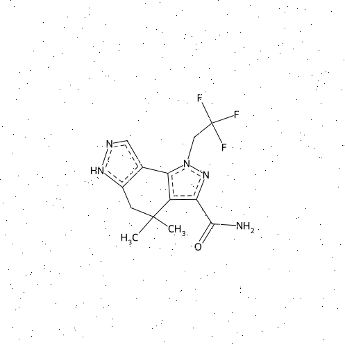 CC1(C)Cc2[nH]ncc2-c2c1c(C(N)=O)nn2CC(F)(F)F